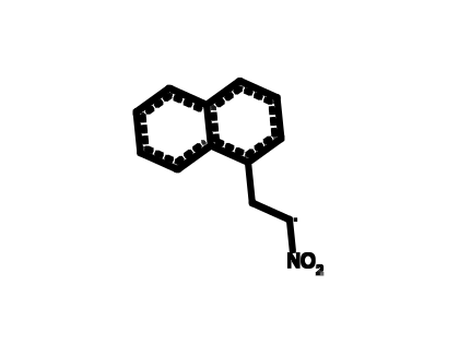 O=[N+]([O-])[CH]Cc1cccc2ccccc12